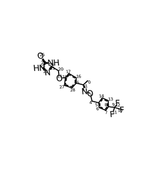 C/C(=N\OCc1ccc(C(F)(F)F)cc1)c1ccc(OCc2n[nH]c(=O)[nH]2)cc1